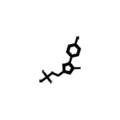 CCC(F)(F)OCc1cc(C)n(-c2ccc(Cl)cc2)n1